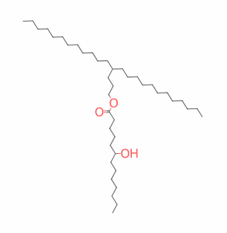 CCCCCCCCCCCCC(CCCCCCCCCCCC)CCCOC(=O)CCCCC(O)CCCCCCC